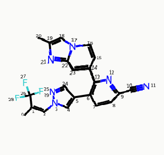 CC(=Cn1cc(-c2ccc(C#N)nc2-c2ccn3cc(C)nc3c2)cn1)C(F)(F)F